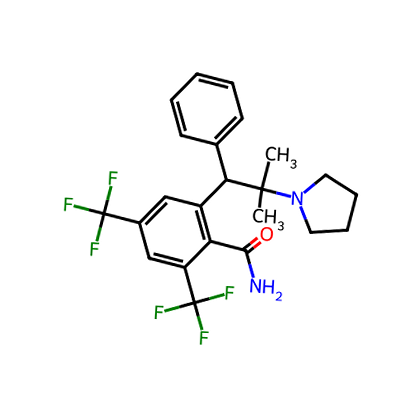 CC(C)(C(c1ccccc1)c1cc(C(F)(F)F)cc(C(F)(F)F)c1C(N)=O)N1CCCC1